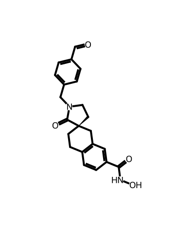 O=Cc1ccc(CN2CC[C@@]3(CCc4ccc(C(=O)NO)cc4C3)C2=O)cc1